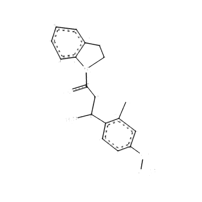 CCOC(=O)Oc1ccc(C(N)CC(=O)N2CCc3ccccc32)c(C)c1